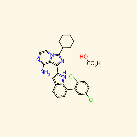 Nc1nccn2c(C3CCCCC3)nc(-c3cc4cccc(-c5cc(Cl)ccc5Cl)c4[nH]3)c12.O=C(O)O